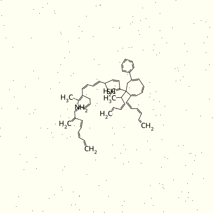 C=C/C=C\C=C/C(=C)/C=C\C=C/CC(/C=C\C=C\C(S)/C=C\C(=C)C1(C(C)/C=C\C=C)C\C(c2ccccc2)=C/C=C\C=C1\C=C/C=C\C=C)=C(/C)N